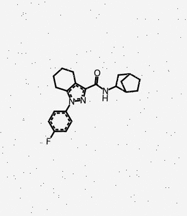 O=C(NC1CC2CCC1C2)c1nn(-c2ccc(F)cc2)c2c1CCCC2